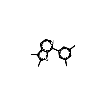 Cc1cc(C)cc(-c2nccc3c(C)c(C)sc23)c1